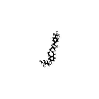 CCOC(=O)C(C)(C)Oc1ccc2c(c1)CCN(Cc1sc(-c3ccc(C(F)(F)F)cc3)nc1C)CC2